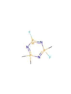 CP1(C)=N[PH](F)=NP(C)(F)=N1